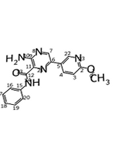 COc1ccc(-c2cnc(N)c(C(=O)Nc3ccccc3)n2)cn1